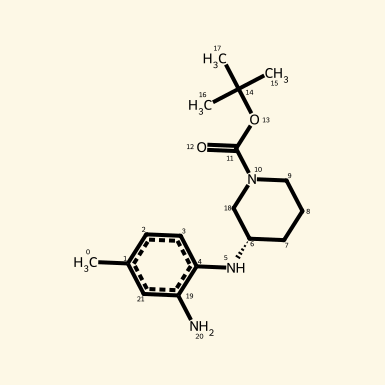 Cc1ccc(N[C@H]2CCCN(C(=O)OC(C)(C)C)C2)c(N)c1